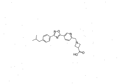 CC(C)Cc1ccc(-c2noc(-c3ccc(CN4CC(C(=O)O)C4)nc3)n2)cc1